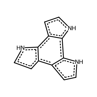 c1cc2c3cc[nH]c3c3[nH]ccc3c2[nH]1